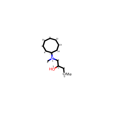 COCC(O)CN(C)C1CCCCCCC1